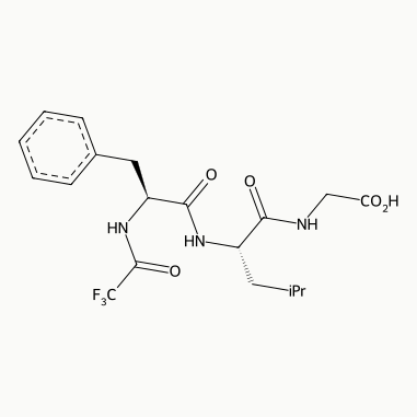 CC(C)C[C@H](NC(=O)[C@H](Cc1ccccc1)NC(=O)C(F)(F)F)C(=O)NCC(=O)O